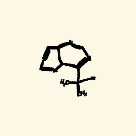 CCC(C)(C)C1=NC=NC2C=CC=NC12